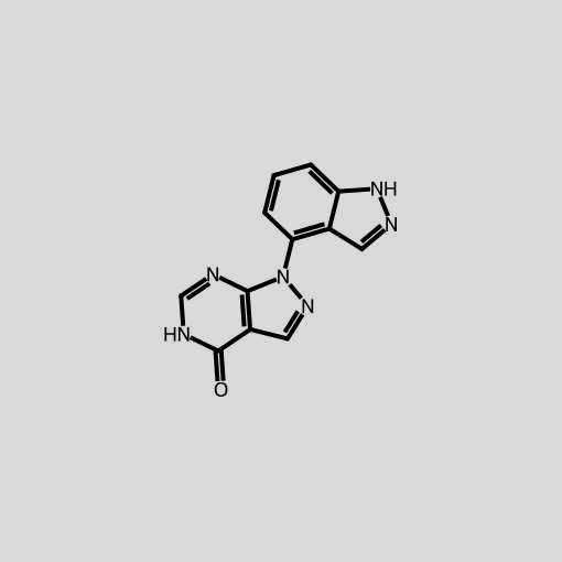 O=c1[nH]cnc2c1cnn2-c1cccc2[nH]ncc12